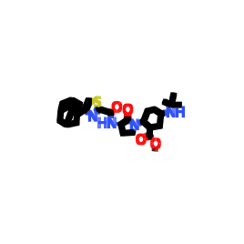 COC(=O)C1CC(NC(C)(C)C)CCC1N1CC[C@H](NC(=O)c2nc(C34CC5CC(CC(C5)C3)C4)cs2)C1=O